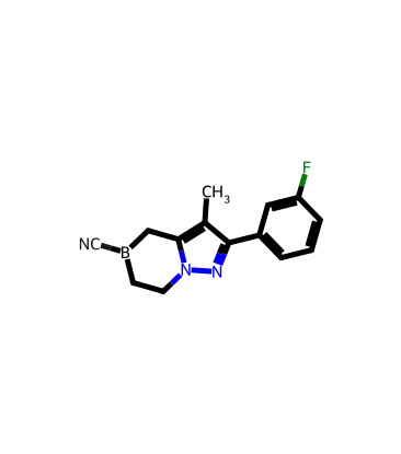 Cc1c(-c2cccc(F)c2)nn2c1CB(C#N)CC2